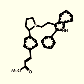 COC(=O)C=Cc1ccc(C2CCCN2CCc2c(-c3ccccc3)[nH]c3ccccc23)cc1